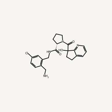 NCc1ccc(Cl)cc1CNC(=O)[C@@H]1CCCN1C(=O)C1(O)CCc2cccnc21